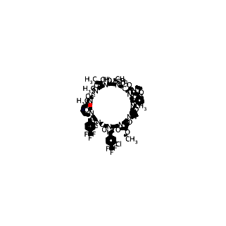 CCO[C@@H]1C[C@H]2C(=O)NC3(CCC3)C(=O)N(C)[C@@H](C3CCCC3)C(=O)N(C)[C@H](C(=O)N3CCOCC3)CC(=O)N(C)[C@@H](CC)C(=O)N[C@@H]([C@@H](C)CC)C(=O)N(C)CC(=O)N(C)[C@H]3C/C=C\CCN(C3=O)[C@@H](Cc3ccc(C(F)(F)F)cc3)C(=O)N(C)CC(=O)N[C@@H](CCc3ccc(C(F)(F)F)c(Cl)c3)C(=O)N2C1